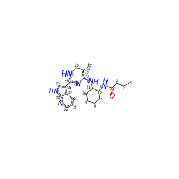 CCCC(=O)NC1CCCCC1NC1=C(F)CNC(c2c[nH]c3ncccc23)=N1